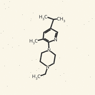 CCN1CCN(c2ncc(C(C)C)cc2C)CC1